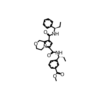 CC[C@@H](NC(=O)c1cc(C(=O)N[C@H](CC)c2cccc(C(=O)OC)c2)n2c1COCC2)c1ccccc1